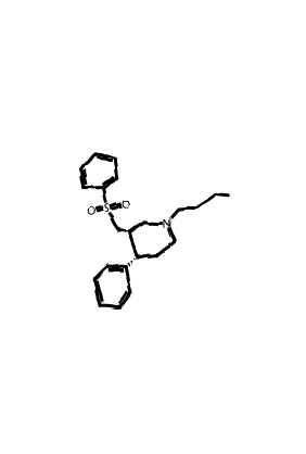 CCCCN1CC[C@H](c2ccccc2)[C@@H](CS(=O)(=O)c2ccccc2)C1